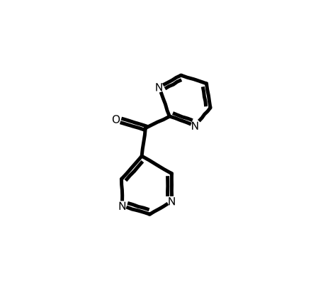 O=C(c1cncnc1)c1ncccn1